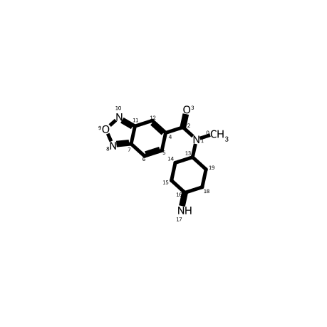 CN(C(=O)c1ccc2nonc2c1)C1CCC(=N)CC1